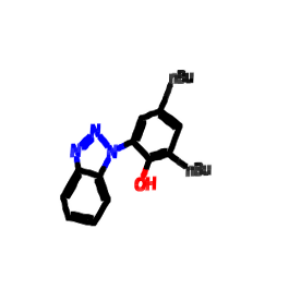 CCCCc1cc(CCCC)c(O)c(-n2nnc3ccccc32)c1